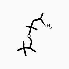 CC(N)CC(C)(C)OCC(C)C(C)(C)C